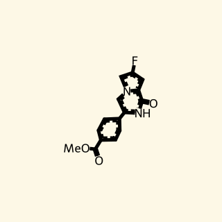 COC(=O)c1ccc(-c2cn3cc(F)cc3c(=O)[nH]2)cc1